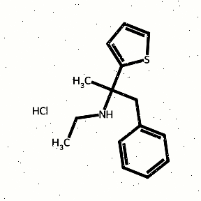 CCNC(C)(Cc1ccccc1)c1cccs1.Cl